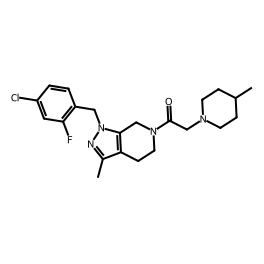 Cc1nn(Cc2ccc(Cl)cc2F)c2c1CCN(C(=O)CN1CCC(C)CC1)C2